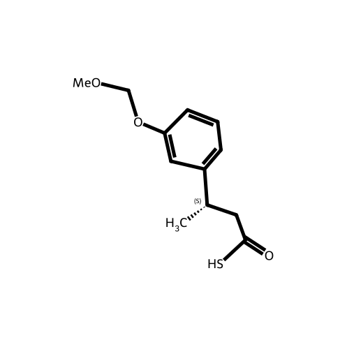 COCOc1cccc([C@@H](C)CC(=O)S)c1